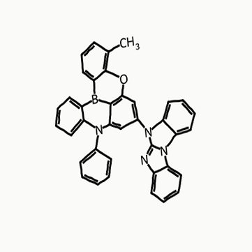 Cc1cccc2c1Oc1cc(-n3c4ccccc4n4c5ccccc5nc34)cc3c1B2c1ccccc1N3c1ccccc1